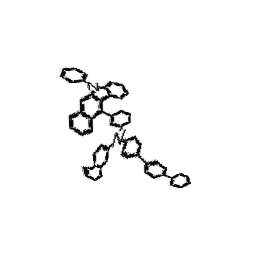 c1ccc(-c2ccc(-c3ccc(N(c4cccc(-c5c6ccccc6cc6c5c5ccccc5n6-c5ccccc5)c4)c4ccc5ccccc5c4)cc3)cc2)cc1